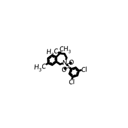 Cc1ccc2c(c1)CN(S(=O)(=O)c1cc(Cl)cc(Cl)c1)CCC2(C)C